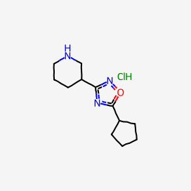 C1CNCC(c2noc(C3CCCC3)n2)C1.Cl